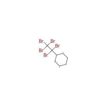 BrC(Br)(Br)C(Br)(Br)C1[CH]CC[CH]C1